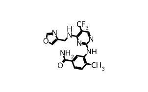 Cc1ccc(C(N)=O)cc1Nc1ncc(C(F)(F)F)c(NCc2cocn2)n1